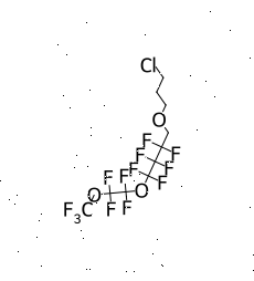 FC(F)(F)OC(F)(F)C(F)(F)OC(F)(F)C(F)(F)C(F)(F)COCCCCl